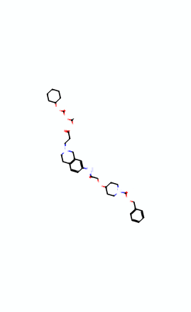 CC(OC(=O)CCN1CCc2ccc(NC(=O)COC3CCN(C(=O)OCc4ccccc4)CC3)cc2C1)OC(=O)OC1CCCCC1